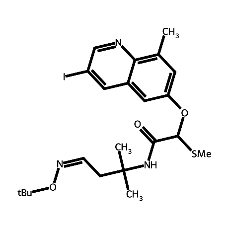 CSC(Oc1cc(C)c2ncc(I)cc2c1)C(=O)NC(C)(C)C/C=N\OC(C)(C)C